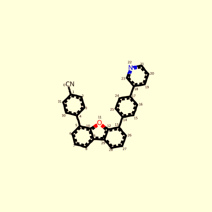 N#Cc1ccc(-c2cccc3c2oc2c(-c4ccc(-c5cccnc5)cc4)cccc23)cc1